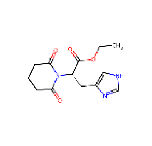 CCOC(=O)[C@H](Cc1c[nH]cn1)N1C(=O)CCCC1=O